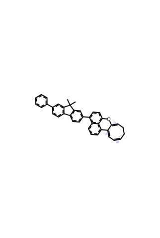 CC1(C)c2cc(-c3ccccc3)ccc2-c2ccc(-c3ccc4c5c(cccc35)C3=C/C=C\CC/C=C\3O4)cc21